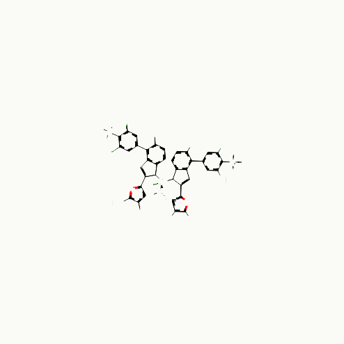 Cc1cc(C2=Cc3c(ccc(C)c3-c3cc(Cl)c([Si](C)(C)C)c(Cl)c3)[CH]2[Zr]([Cl])([Cl])([CH]2C(c3cc(C)c(C)o3)=Cc3c2ccc(C)c3-c2cc(Cl)c([Si](C)(C)C)c(Cl)c2)=[Si](C)C)oc1C